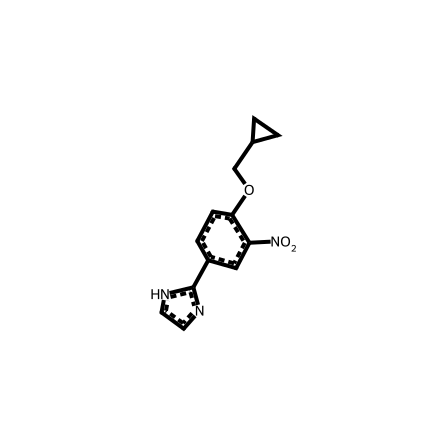 O=[N+]([O-])c1cc(-c2ncc[nH]2)ccc1OCC1CC1